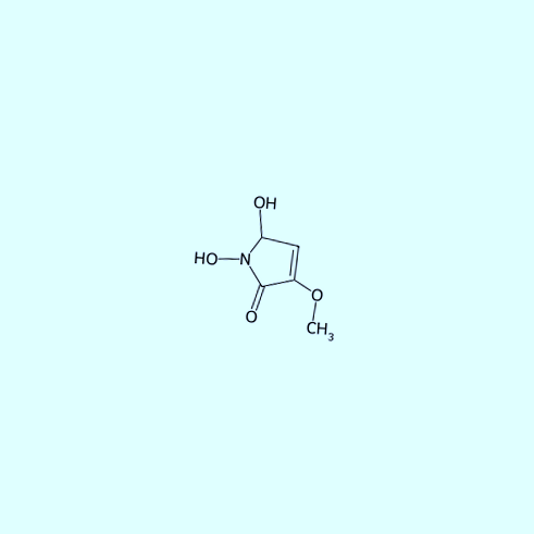 COC1=CC(O)N(O)C1=O